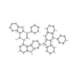 CN1c2c(sc3ccccc23)C(c2ccccc2)=NC1c1cccc2oc3cc(-n4c5ccccc5c5c(-c6ccccc6)c6ccccc6cc54)ccc3c12